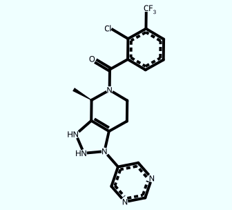 C[C@@H]1C2=C(CCN1C(=O)c1cccc(C(F)(F)F)c1Cl)N(c1cncnc1)NN2